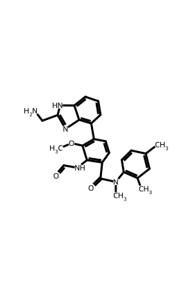 COc1c(-c2cccc3[nH]c(CN)nc23)ccc(C(=O)N(C)c2ccc(C)cc2C)c1NC=O